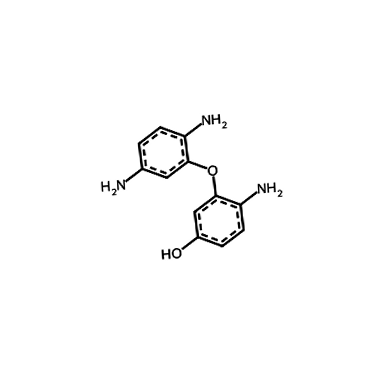 Nc1ccc(N)c(Oc2cc(O)ccc2N)c1